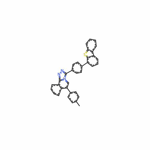 Cc1ccc(-c2cn3c(-c4ccc(-c5cccc6c5sc5ccccc56)cc4)nnc3c3ccccc23)cc1